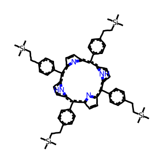 C[Si](C)(C)CCc1ccc(-c2c3nc(c(-c4ccc(CC[Si](C)(C)C)cc4)c4ccc([nH]4)c(-c4ccc(CC[Si](C)(C)C)cc4)c4nc(c(-c5ccc(CC[Si](C)(C)C)cc5)c5ccc2[nH]5)C=C4)C=C3)cc1